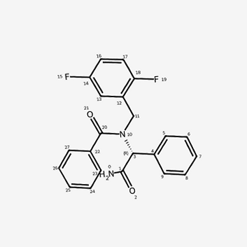 NC(=O)[C@@H](c1ccccc1)N(Cc1cc(F)ccc1F)C(=O)c1ccccc1